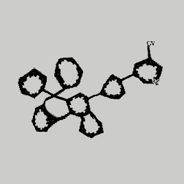 N#Cc1cncc(-c2ccc(-c3cc4c(c5ccccc35)-c3ccccc3C4(c3ccccc3)c3ccccc3)cc2)c1